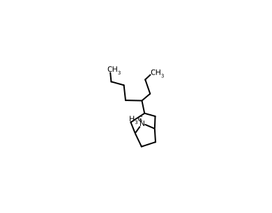 CCCCC(CCC)C1CC2CCC(C1)N2C